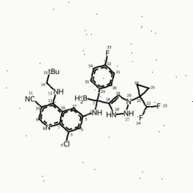 BC(Nc1cc(Cl)c2ncc(C#N)c(NCC(C)(C)C)c2c1)(C1=CN(C2(C(F)F)CC2)NN1)c1ccc(F)cc1